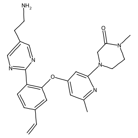 C=Cc1ccc(-c2ncc(CCN)cn2)c(Oc2cc(C)nc(N3CCN(C)C(=O)C3)c2)c1